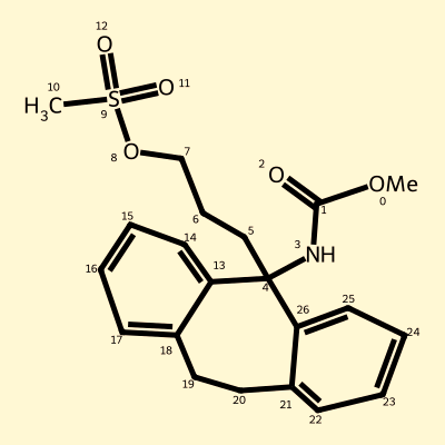 COC(=O)NC1(CCCOS(C)(=O)=O)c2ccccc2CCc2ccccc21